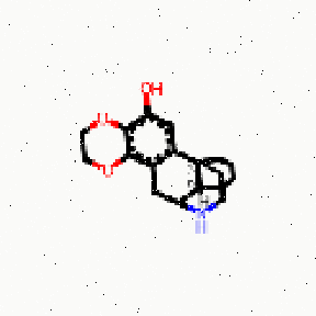 Oc1cc2c(c3c1OCCO3)CC1NCC[C@]23CCCC[C@H]13